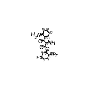 CC(C)C1CC[C@@H](C)C[C@H]1OC(=O)C(=N)C(=O)c1ccccc1N